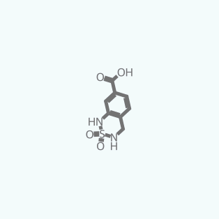 O=C(O)c1ccc2c(c1)NS(=O)(=O)NC2